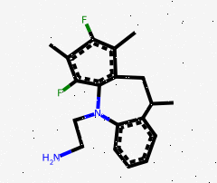 Cc1c(F)c(C)c2c(c1F)N(CCN)c1ccccc1C(C)C2